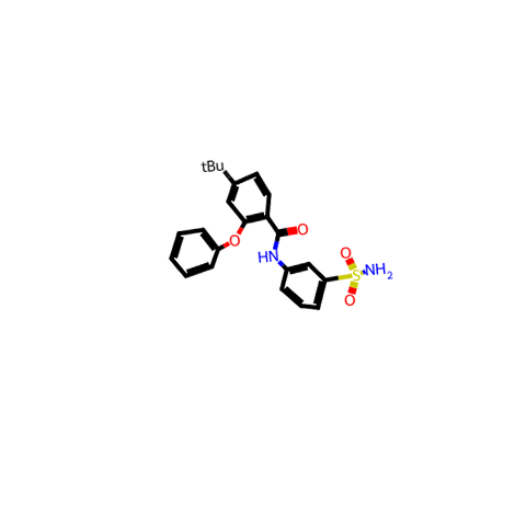 CC(C)(C)c1ccc(C(=O)Nc2cccc(S(N)(=O)=O)c2)c(Oc2ccccc2)c1